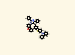 c1ccc(C2=NC(c3ccccc3)C3Cc4cc(c5sc6cc(-n7c8ccccc8c8ccccc87)ccc6c5c4)-c4cccc5oc6cccc(c6c45)C3=N2)cc1